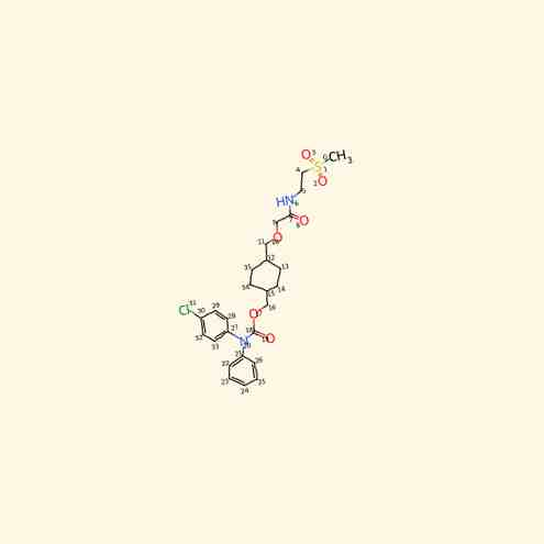 CS(=O)(=O)CCNC(=O)COCC1CCC(COC(=O)N(c2ccccc2)c2ccc(Cl)cc2)CC1